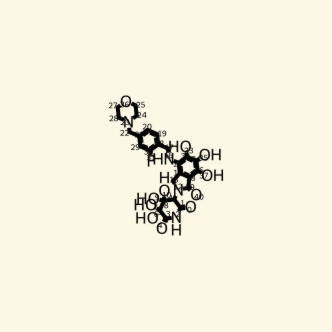 O=C1NC(=O)C(O)(O)C(O)(O)C1N1Cc2c(NCc3ccc(CN4CCOCC4)cc3F)c(O)c(O)c(O)c2C1=O